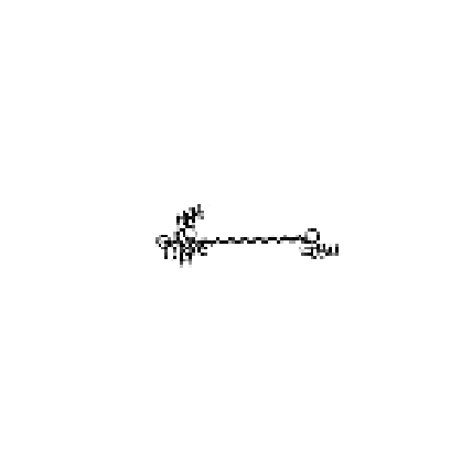 COC(=O)C(CCN=[N+]=[N-])NC(=O)CCCCCCCCCCCCCCCCC(=O)OC(C)(C)C